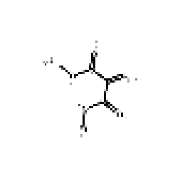 C=C(C(=O)OCC)C(=O)OOC